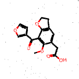 COc1c(CC(=O)O)cc2c(c1C(=O)c1ccoc1)OCC2